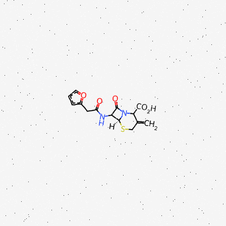 C=C1CS[C@H]2C(NC(=O)Cc3ccco3)C(=O)N2C1C(=O)O